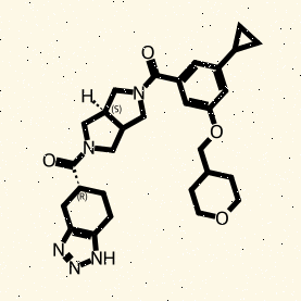 O=C(c1cc(OCC2CCOCC2)cc(C2CC2)c1)N1CC2CN(C(=O)[C@@H]3CCc4[nH]nnc4C3)C[C@H]2C1